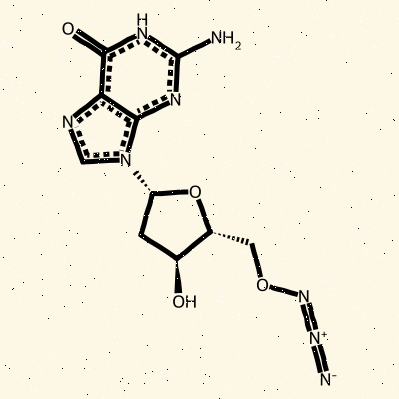 [N-]=[N+]=NOC[C@H]1O[C@@H](n2cnc3c(=O)[nH]c(N)nc32)C[C@@H]1O